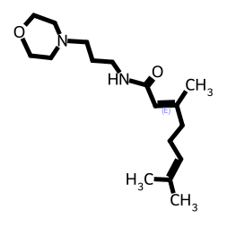 CC(C)=CCC/C(C)=C/C(=O)NCCCN1CCOCC1